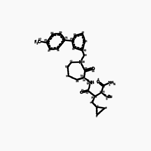 CCCC[C@H](C(N)=O)[C@@H](CC1CC1)C(=O)N[C@H]1CCCCN(Cc2cccc(-c3ccc(C(F)(F)F)cc3)c2)C1=O